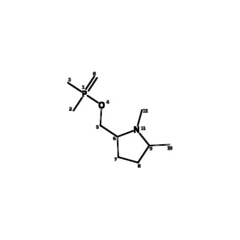 C=P(C)(C)OCC1CCC(C)N1C